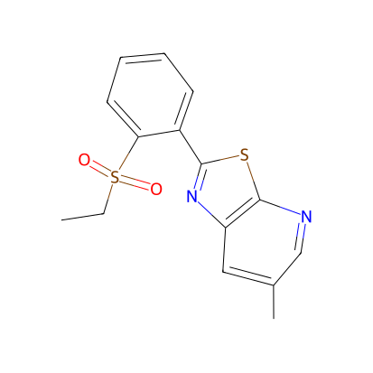 CCS(=O)(=O)c1ccccc1-c1nc2cc(C)cnc2s1